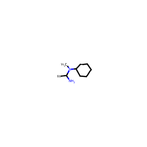 CCC(N)N(C)C1CCCCC1